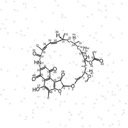 CO[C@H]1/C=C/O[C@@]2(C)Oc3c(C)c(O)c4c(c3C2=O)C(=O)C=C(NC(=O)/C(C)=C\C=C\[C@H](C)C[C@@H](C)C[C@@H](C)[C@H](OC(C)=O)C1)C4=O